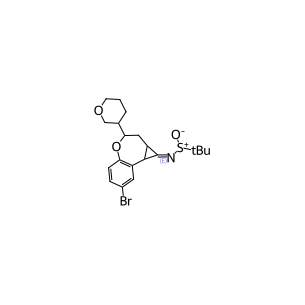 CC(C)(C)[S+]([O-])/N=C1\C2CC(C3CCCOC3)Oc3ccc(Br)cc3C12